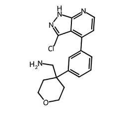 NCC1(c2cccc(-c3ccnc4[nH]nc(Cl)c34)c2)CCOCC1